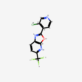 FC(F)(F)c1ccc2nc(-c3ccncc3Cl)oc2n1